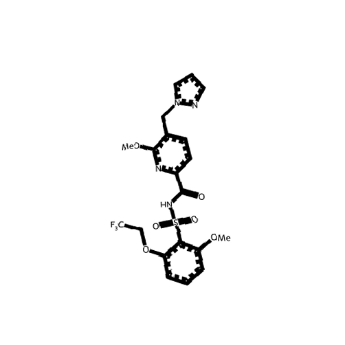 COc1cccc(OCC(F)(F)F)c1S(=O)(=O)NC(=O)c1ccc(Cn2cccn2)c(OC)n1